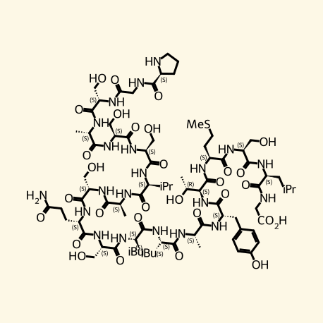 CC[C@H](C)[C@H](NC(=O)[C@H](CO)NC(=O)[C@H](CCC(N)=O)NC(=O)[C@H](CO)NC(=O)[C@H](C)NC(=O)[C@@H](NC(=O)[C@H](CO)NC(=O)[C@H](CO)NC(=O)[C@H](C)NC(=O)[C@H](CO)NC(=O)CNC(=O)[C@@H]1CCCN1)C(C)C)C(=O)N[C@H](C(=O)N[C@@H](C)C(=O)N[C@@H](Cc1ccc(O)cc1)C(=O)N[C@H](C(=O)N[C@@H](CCSC)C(=O)N[C@@H](CO)C(=O)N[C@@H](CC(C)C)C(=O)NCC(=O)O)[C@@H](C)O)[C@@H](C)CC